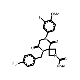 CNC(=O)N1CC2(C1)C(=O)N(c1ccc(OC)c(F)c1)CC(=O)N2Cc1ccc(C(F)(F)F)cc1